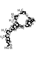 C=C1C2C[C@@H]3O[C@H]4C[C@H]5O[C@]6(CC7O[C@]8(C[C@H](C)C9OC%10CC([C@@H](O)CO)OC%10CC9O8)C[C@H](C)C7O6)C[C@H]5O[C@H]4[C@H](C)[C@H]3OC(=O)CC3CC[C@@H]4O[C@@H]5C6[C@@H](O[C@@]7(CCC8CC(=C)[C@H](CC[C@@H](C[C@H]1C)O2)O8)C[C@H]1OC6(O7)C51)[C@H]4O3